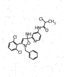 CC(Cl)C(=O)Nc1ccnc(C2(N)C=C(c3c(Cl)cccc3Cl)N(Cc3ccccc3)O2)c1